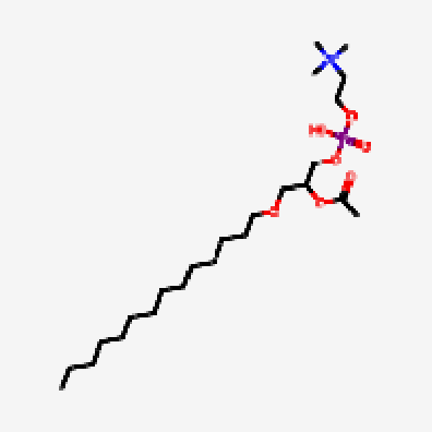 CCCCCCCCCCCCCCOCC(COP(=O)(O)OCC[N+](C)(C)C)OC(C)=O